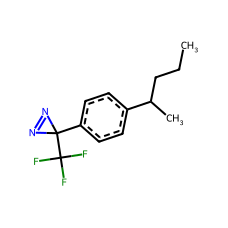 CCCC(C)c1ccc(C2(C(F)(F)F)N=N2)cc1